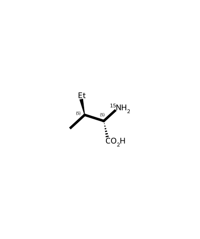 CC[C@H](C)[C@H]([15NH2])C(=O)O